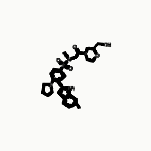 Cc1ccc2cc(-c3cc(S(=O)(=O)N(C)CC(=O)N4CCO[C@H](CO)C4)ccc3N3CCCC3)[nH]c2c1